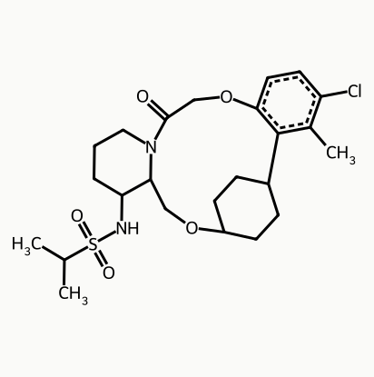 Cc1c(Cl)ccc2c1C1CCC(CC1)OCC1C(NS(=O)(=O)C(C)C)CCCN1C(=O)CO2